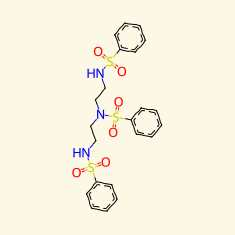 O=S(=O)(NCCN(CCNS(=O)(=O)c1ccccc1)S(=O)(=O)c1ccccc1)c1ccccc1